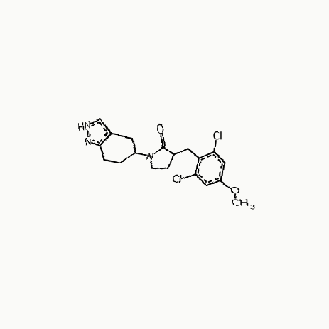 COc1cc(Cl)c(CC2CCN(C3CCc4n[nH]cc4C3)C2=O)c(Cl)c1